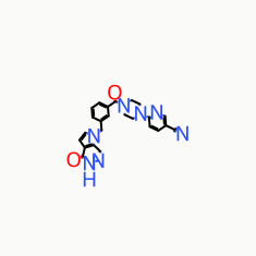 N#Cc1ccc(N2CCN(C(=O)c3cccc(Cn4ccc5c(=O)[nH]ncc54)c3)CC2)nc1